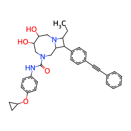 CCC1C(c2ccc(C#Cc3ccccc3)cc2)C2CN(C(=O)Nc3ccc(OC4CC4)cc3)CC(O)C(O)CN12